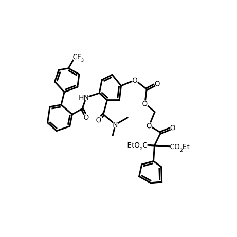 CCOC(=O)C(C(=O)OCC)(C(=O)OCOC(=O)Oc1ccc(NC(=O)c2ccccc2-c2ccc(C(F)(F)F)cc2)c(C(=O)N(C)C)c1)c1ccccc1